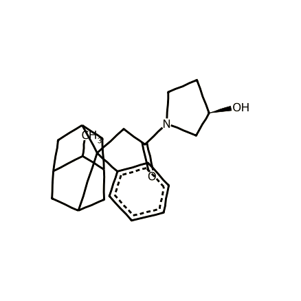 CC1C2CC3CC1CC(C2)C3(CC(=O)N1CC[C@@H](O)C1)c1ccccc1